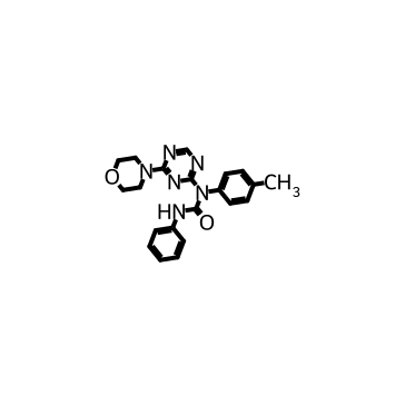 Cc1ccc(N(C(=O)Nc2ccccc2)c2ncnc(N3CCOCC3)n2)cc1